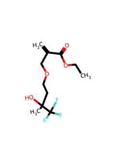 C=C(COCCC(C)(O)C(F)(F)F)C(=O)OCC